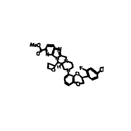 COC(=O)c1ccc2nc3n(c2n1)C([C@@H]1CCO1)[C@H]1CN(c2cccc4c2O[C@@H](c2ccc(Cl)cc2F)CO4)CCN1C3